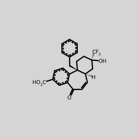 O=C(O)c1ccc2c(c1)C(=O)C=C[C@@H]1C[C@@](O)(C(F)(F)F)CC[C@@]21Cc1ccccc1